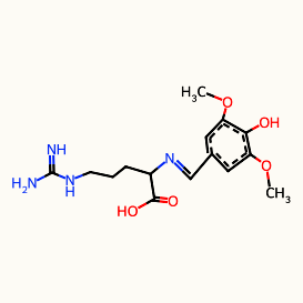 COc1cc(C=NC(CCCNC(=N)N)C(=O)O)cc(OC)c1O